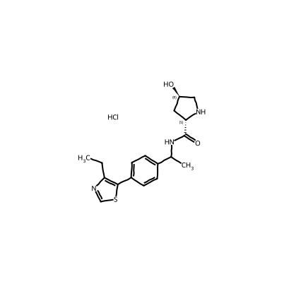 CCc1ncsc1-c1ccc(C(C)NC(=O)[C@@H]2C[C@@H](O)CN2)cc1.Cl